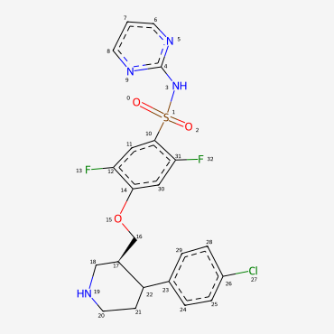 O=S(=O)(Nc1ncccn1)c1cc(F)c(OC[C@@H]2CNCCC2c2ccc(Cl)cc2)cc1F